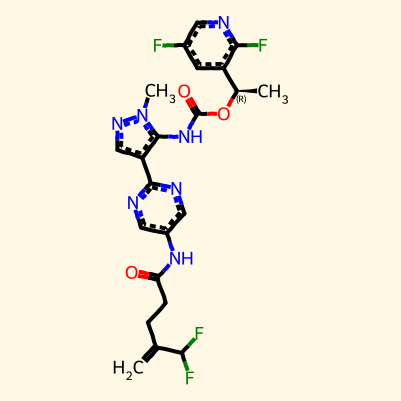 C=C(CCC(=O)Nc1cnc(-c2cnn(C)c2NC(=O)O[C@H](C)c2cc(F)cnc2F)nc1)C(F)F